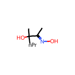 CCCC(C)(O)/C(C)=N/O